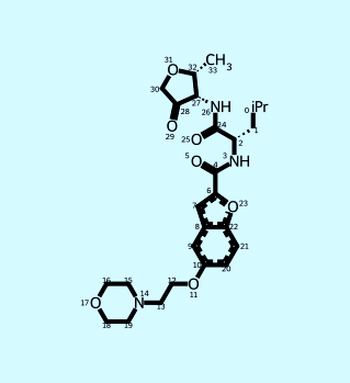 CC(C)C[C@H](NC(=O)c1cc2cc(OCCN3CCOCC3)ccc2o1)C(=O)N[C@@H]1C(=O)CO[C@@H]1C